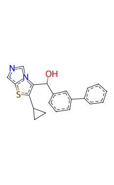 OC(c1cccc(-c2ccccc2)c1)c1c(C2CC2)sc2cncn12